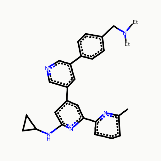 CCN(CC)Cc1ccc(-c2cncc(-c3cc(NC4CC4)nc(-c4cccc(C)n4)c3)c2)cc1